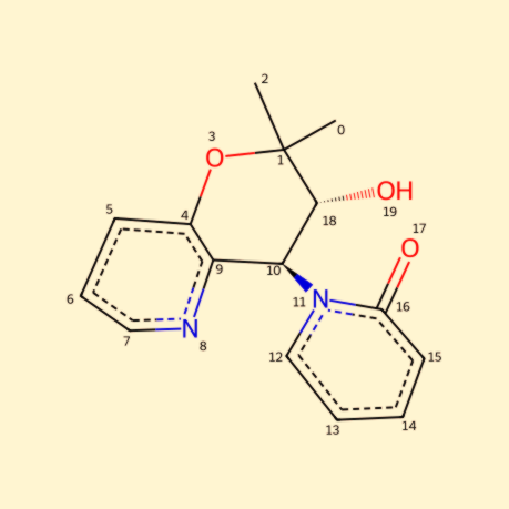 CC1(C)Oc2cccnc2[C@H](n2ccccc2=O)[C@H]1O